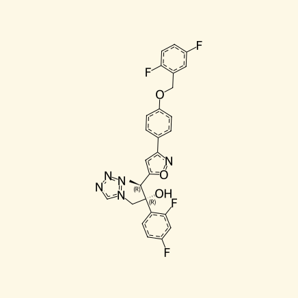 C[C@@H](c1cc(-c2ccc(OCc3cc(F)ccc3F)cc2)no1)[C@](O)(Cn1cnnn1)c1ccc(F)cc1F